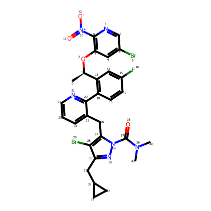 C[C@@H](Oc1cc(Br)cnc1[N+](=O)[O-])c1cc(F)ccc1-c1ncccc1Cc1c(Br)c(CC2CC2)nn1C(=O)N(C)C